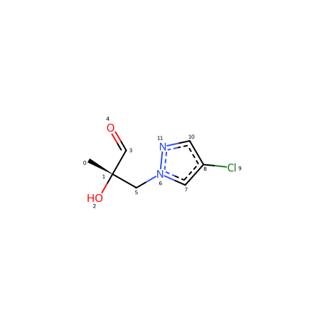 C[C@@](O)(C=O)Cn1cc(Cl)cn1